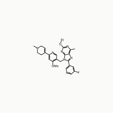 CCOc1nc(C)c2nc(-c3cncc(F)c3)n(Cc3cnc(C4=CCN(C)CC4)cc3OC)c2n1